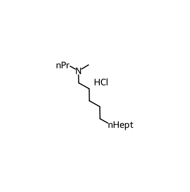 CCCCCCCCCCCCN(C)CCC.Cl